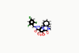 CN1C(=O)c2c(O)c(=O)c(C(=O)NCc3c(F)cc(F)cc3F)cn2[C@@H]2CCCCC[C@@H]21